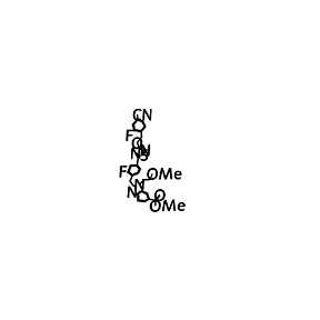 COCCn1c(Cc2ccc(-c3nc(OCc4ccc(C#N)cc4F)ns3)cc2F)nc2ccc(C(=O)OC)cc21